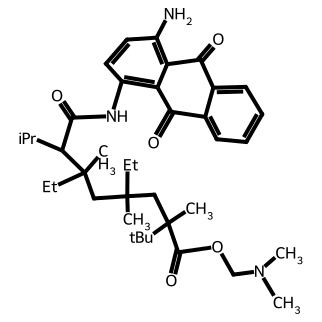 CCC(C)(CC(C)(CC)C(C(=O)Nc1ccc(N)c2c1C(=O)c1ccccc1C2=O)C(C)C)CC(C)(C(=O)OCN(C)C)C(C)(C)C